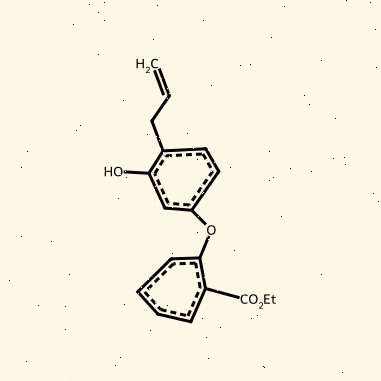 C=CCc1ccc(Oc2ccccc2C(=O)OCC)cc1O